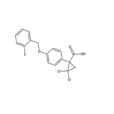 O=C(O)C1(c2ccc(OCc3ccccc3F)cc2)CC1(Cl)Cl